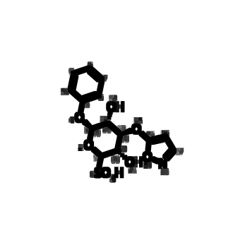 O=S(=O)(O)C1O[C@@H](Oc2ccccc2)[C@H](O)[C@@H](Oc2ccno2)[C@@H]1O